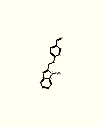 Cn1c(CCc2ccc(C=O)cc2)nc2ccccc21